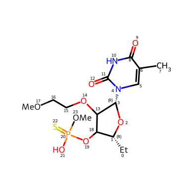 CC[C@H]1O[C@@H](n2cc(C)c(=O)[nH]c2=O)C(OCCOC)C1OP(O)(=S)OC